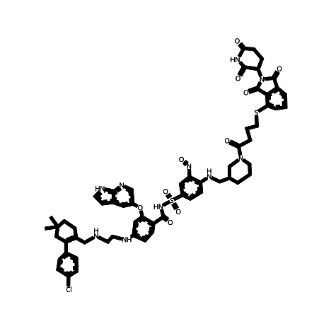 CC1(C)CCC(CNCCNc2ccc(C(=O)NS(=O)(=O)c3ccc(NCC4CCCN(C(=O)CCCSc5cccc6c5C(=O)N(C5CCC(=O)NC5=O)C6=O)C4)c(N=O)c3)c(Oc3cnc4[nH]ccc4c3)c2)=C(c2ccc(Cl)cc2)C1